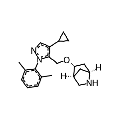 Cc1cccc(C)c1-n1ncc(C2CC2)c1CO[C@@H]1C[C@@H]2C[C@H]1CN2